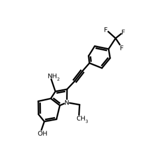 CCn1c(C#Cc2ccc(C(F)(F)F)cc2)c(N)c2ccc(O)cc21